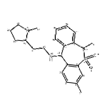 Cc1ccc2c(c1)S(=O)(=O)N(C)c1ccccc1C2NCCC1CCCN1C